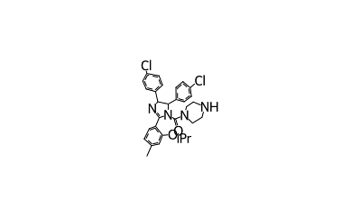 Cc1ccc(C2=NC(c3ccc(Cl)cc3)C(c3ccc(Cl)cc3)N2C(=O)N2CCNCC2)c(OC(C)C)c1